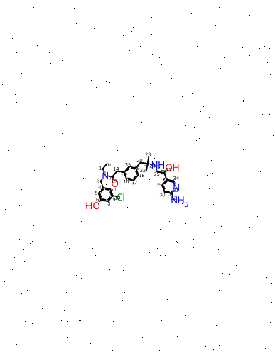 CCN(Cc1cc(O)cc(Cl)c1)C(=O)Cc1cccc(CC(C)(C)NC[C@@H](O)c2ccc(N)nc2)c1